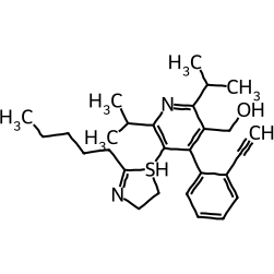 C#Cc1ccccc1-c1c(CO)c(C(C)C)nc(C(C)C)c1[SH]1CCN=C1CCCCC